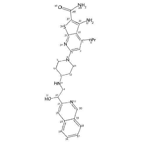 CCCc1cc(N2CCC(NCC(O)c3cc4ccccc4cn3)CC2)nc2sc(C(N)=O)c(N)c12